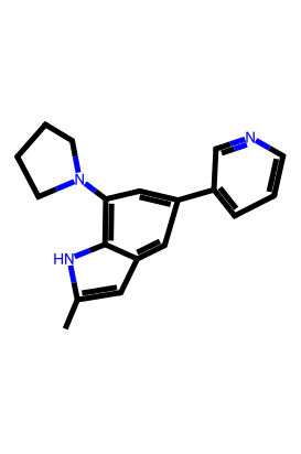 Cc1cc2cc(-c3cccnc3)cc(N3CCCC3)c2[nH]1